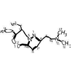 COC(=O)C(CC(C)C)n1nc(CCN(C)C)ccc1=O